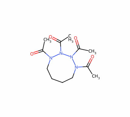 CC(=O)N1CCCCN(C(C)=O)N(C(C)=O)N1C(C)=O